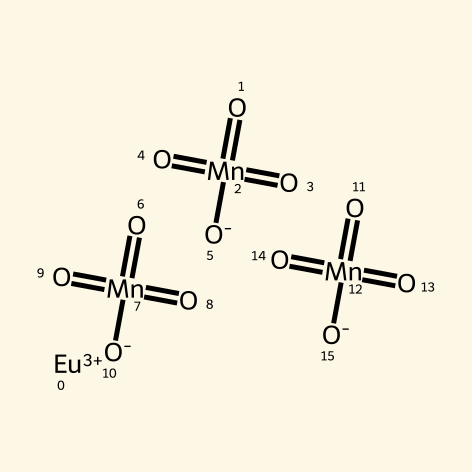 [Eu+3].[O]=[Mn](=[O])(=[O])[O-].[O]=[Mn](=[O])(=[O])[O-].[O]=[Mn](=[O])(=[O])[O-]